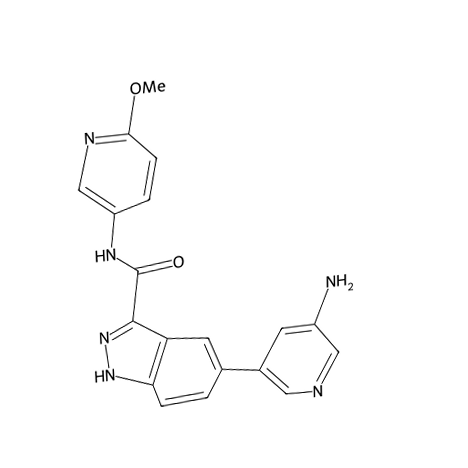 COc1ccc(NC(=O)c2n[nH]c3ccc(-c4cncc(N)c4)cc23)cn1